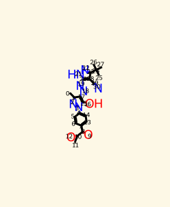 Cc1nn(-c2ccc(C(=O)C3CO3)cc2)c(O)c1/N=N/c1[nH]nc(C(C)(C)C)c1C#N